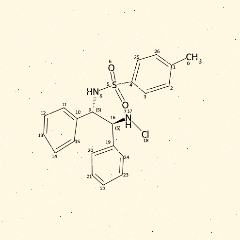 Cc1ccc(S(=O)(=O)N[C@@H](c2ccccc2)[C@@H](NCl)c2ccccc2)cc1